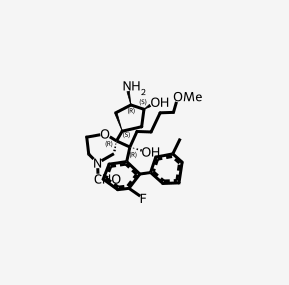 COCCCC[C@@](O)(c1cccc(F)c1-c1cccc(C)c1)[C@@]1([C@H]2C[C@@H](N)[C@@H](O)C2)CN(C=O)CCO1